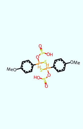 COc1ccc([PH]2(OS(=O)O)S[PH](OS(=O)O)(c3ccc(OC)cc3)S2)cc1